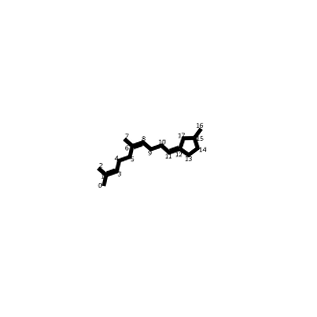 CC(C)=CCCC(C)=CCCC=C1CCC(C)C1